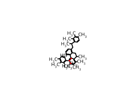 Cc1ccc(C(C)Cc2ccc(O)c(CC(C)c3ccc(C)c(C)c3C)c2CC(C)c2ccc(C)c(C)c2C)c(C)c1C